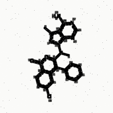 Cc1nn(C(C)c2oc(=O)c3ccc(Cl)cc3c2-c2ccccc2)c2ncnc(N)c12